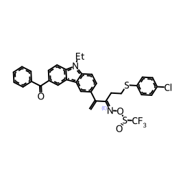 C=C(/C(CCSc1ccc(Cl)cc1)=N/OS(=O)C(F)(F)F)c1ccc2c(c1)c1cc(C(=O)c3ccccc3)ccc1n2CC